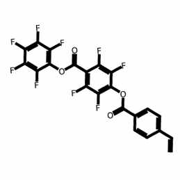 C=Cc1ccc(C(=O)Oc2c(F)c(F)c(C(=O)Oc3c(F)c(F)c(F)c(F)c3F)c(F)c2F)cc1